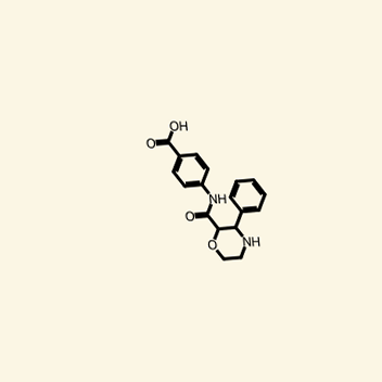 O=C(O)c1ccc(NC(=O)C2OCCNC2c2ccccc2)cc1